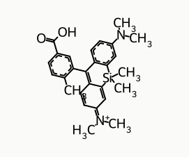 Cc1ccc(C(=O)O)cc1C1=C2C=CC(=[N+](C)C)C=C2[Si](C)(C)c2cc(N(C)C)ccc21